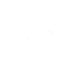 ClN=C1C=CNC1